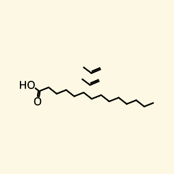 C=CC.C=CC.CCCCCCCCCCCCCC(=O)O